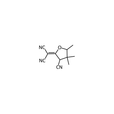 CC1OC(=C(C#N)C#N)C(C#N)C1(C)C